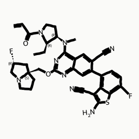 C=CC(=O)N1CC[C@@H](N(C)c2nc(OC[C@@]34CCCN3C[C@H](F)C4)nc3cc(-c4ccc(F)c5sc(N)c(C#N)c45)c(C#N)cc23)[C@H]1CC